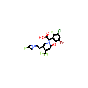 O=C(O)C(c1cc(Br)cc(Cl)c1F)n1cc(CCN2CC(F)C2)c(C(F)(F)F)cc1=O